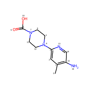 Cc1cc(N2CCN(C(=O)O)CC2)ncc1N